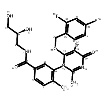 Cc1ccc(C(=O)NC[C@H](O)CO)cc1-n1c(C)nc(=O)c(Br)c1OCc1ccc(F)cc1F